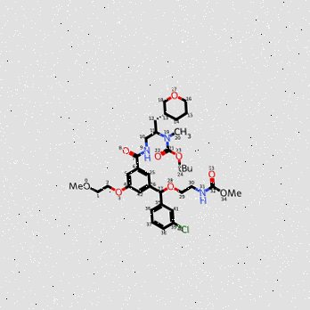 COCCOc1cc(C(=O)NCC(C[C@H]2CCCOC2)N(C)C(=O)OC(C)(C)C)cc(C(OCCNC(=O)OC)c2cccc(Cl)c2)c1